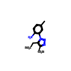 CCOC(=O)Cc1c(C(=O)OCC)nnn1-c1cc(C)ccc1N